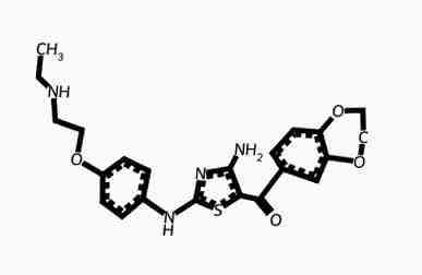 CCNCCOc1ccc(Nc2nc(N)c(C(=O)c3ccc4c(c3)OCCO4)s2)cc1